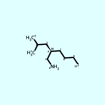 CC(C)C[C@H](CN)CCCI